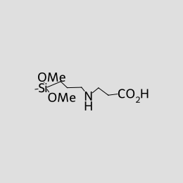 CO[Si](C)(CCCNCCC(=O)O)OC